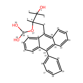 CC(C)(O)C(C)(Cc1c2ccccc2c(-c2ccccc2)c2ccccc12)OB(O)O